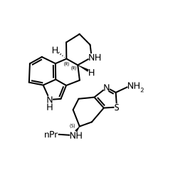 CCCN[C@H]1CCc2nc(N)sc2C1.c1cc2c3c(c[nH]c3c1)C[C@H]1NCCC[C@H]21